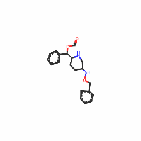 O=COC(c1ccccc1)[C@@H]1CCC(NOCc2ccccc2)CN1